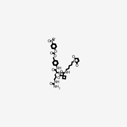 NC(=O)NCCC[C@H](NC(=O)C1(C(=O)NCCCCCN2C(=O)C=CC2=O)CCC1)C(=O)Nc1ccc(COC(=O)Oc2ccc([N+](=O)[O-])cc2)cc1